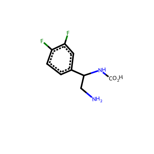 NCC(NC(=O)O)c1ccc(F)c(F)c1